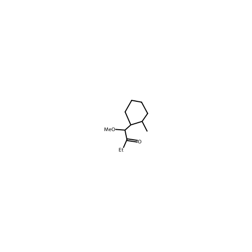 CCC(=O)C(OC)C1CCCCC1C